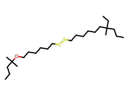 CCCC(C)(CC)CCCCCCSSCCCCCCOC(C)(C)CCC